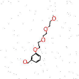 COCCOCCOCCOc1cccc(C=O)c1